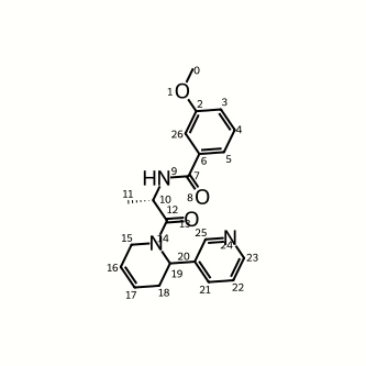 COc1cccc(C(=O)N[C@@H](C)C(=O)N2CC=CCC2c2cccnc2)c1